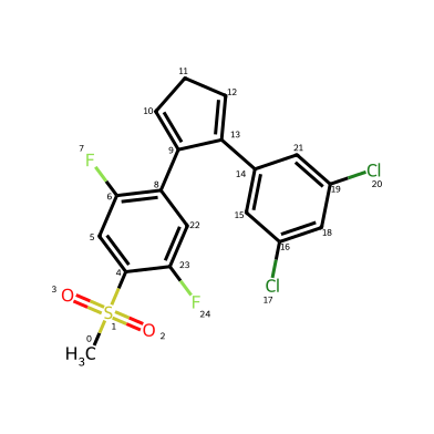 CS(=O)(=O)c1cc(F)c(C2=CCC=C2c2cc(Cl)cc(Cl)c2)cc1F